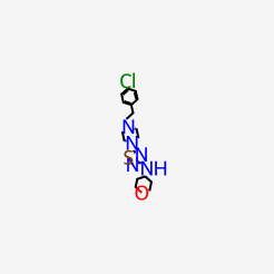 Clc1ccc(CCN2CCN(c3nc(NC4CCOCC4)ns3)CC2)cc1